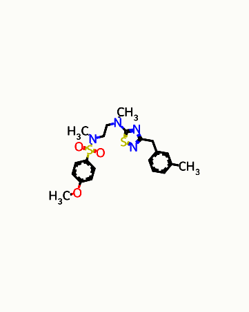 COc1ccc(S(=O)(=O)N(C)CCN(C)c2nc(Cc3cccc(C)c3)ns2)cc1